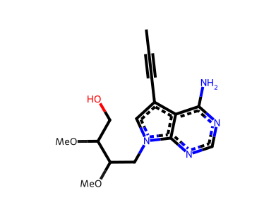 CC#Cc1cn(CC(OC)C(CO)OC)c2ncnc(N)c12